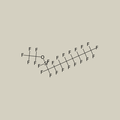 FC(F)(F)C(F)(F)O[Si](F)(F)C(F)(F)C(F)(F)C(F)(F)C(F)(F)C(F)(F)C(F)(F)C(F)(F)C(F)(F)F